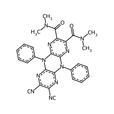 [C-]#[N+]c1nc2c(nc1[N+]#[C-])N(c1ccccc1)c1nc(C(=O)N(C)C)c(C(=O)N(C)C)nc1N2c1ccccc1